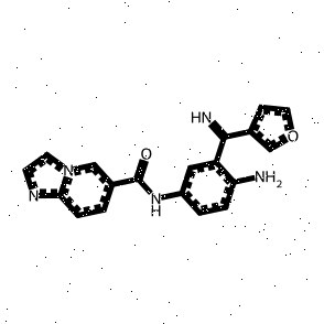 N=C(c1ccoc1)c1cc(NC(=O)c2ccc3nccn3c2)ccc1N